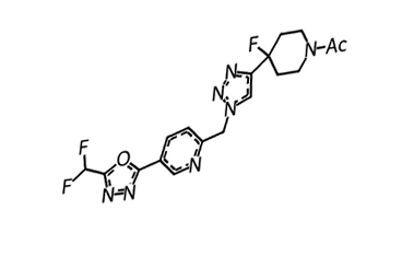 CC(=O)N1CCC(F)(c2cn(Cc3ccc(-c4nnc(C(F)F)o4)cn3)nn2)CC1